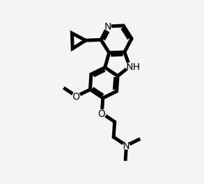 COc1cc2c(cc1OCCN(C)C)[nH]c1ccnc(C3CC3)c12